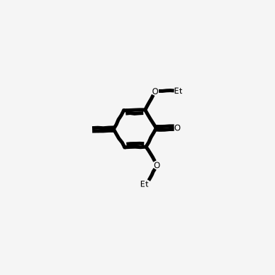 C=C1C=C(OCC)C(=O)C(OCC)=C1